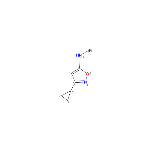 CC(C)Nc1cc(C2CC2)no1